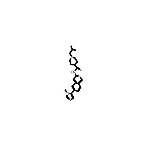 CC(C)CN1CCC(C(=O)Nc2cc3cc(-c4cncn4C)ccc3cn2)CC1